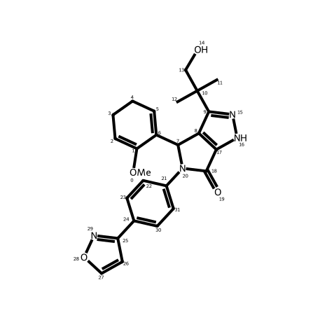 COC1=CCCC=C1C1c2c(C(C)(C)CO)n[nH]c2C(=O)N1c1ccc(-c2ccon2)cc1